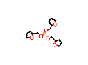 c1coc(COP(OCc2ccco2)OCc2ccco2)c1